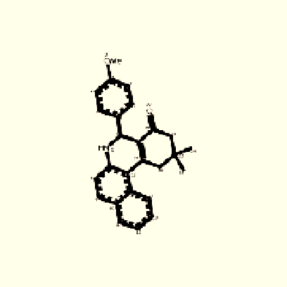 COc1ccc(C2Nc3ccc4ccccc4c3C3=C2C(=O)CC(C)(C)C3)cc1